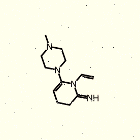 C=CN1C(=N)CCC=C1N1CCN(C)CC1